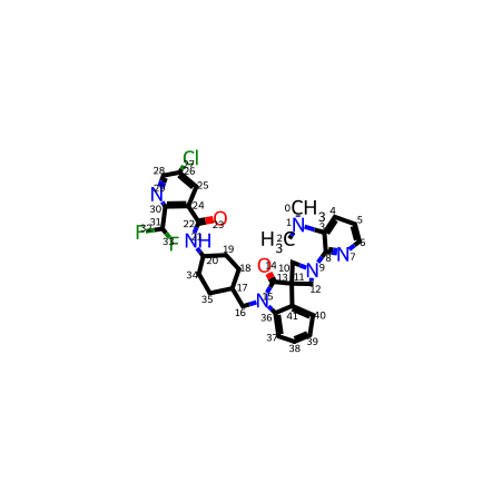 CN(C)c1cccnc1N1CC2(C1)C(=O)N(CC1CCC(NC(=O)c3cc(Cl)cnc3C(F)F)CC1)c1ccccc12